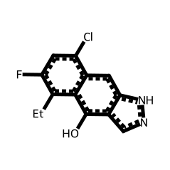 CCc1c(F)cc(Cl)c2cc3[nH]ncc3c(O)c12